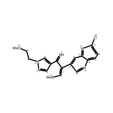 CN/C=C(\C(=N)c1cnn(CCOC)c1)c1cnc2ccc(Cl)nc2c1